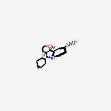 CSc1ccc2c(c1)[C@H]1OCCC[C@H]1[C@@H](C1CCCCC1)N2